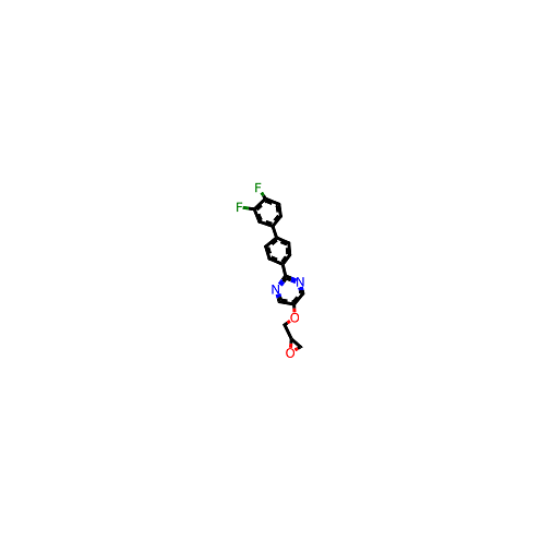 Fc1ccc(-c2ccc(-c3ncc(OCC4CO4)cn3)cc2)cc1F